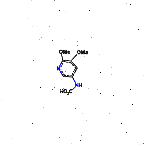 COc1cc(NC(=O)O)cnc1OC